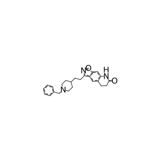 O=C1CCc2cc3c(CCC4CCN(Cc5ccccc5)CC4)noc3cc2N1